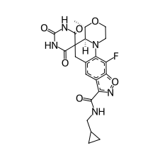 C[C@@H]1OCCN2c3c(cc4c(C(=O)NCC5CC5)noc4c3F)CC3(C(=O)NC(=O)NC3=O)[C@@H]12